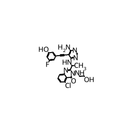 CC(Nc1ncnc(N)c1C#Cc1cc(O)cc(F)c1)c1nc2cccc(Cl)c2c(=O)n1NCCO